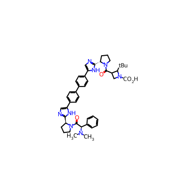 CN(C)[C@@H](C(=O)N1CCC[C@H]1c1ncc(-c2ccc(-c3ccc(-c4cnc([C@@H]5CCCN5C(=O)C5CN(C(=O)O)C5C(C)(C)C)[nH]4)cc3)cc2)[nH]1)c1ccccc1